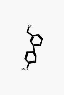 COc1ccc(-c2cccc(CO)c2)cc1